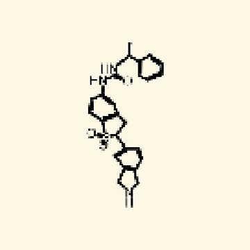 C[C@H](NC(=O)Nc1ccc2c(c1)CC(c1ccc3c(c1)CNC3)S2(=O)=O)c1ccccc1